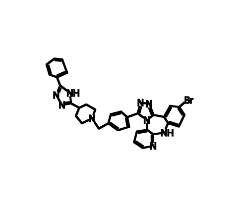 Brc1ccc2c(c1)-c1nnc(-c3ccc(CN4CCC(c5nnc(-c6ccccc6)[nH]5)CC4)cc3)n1-c1cccnc1N2